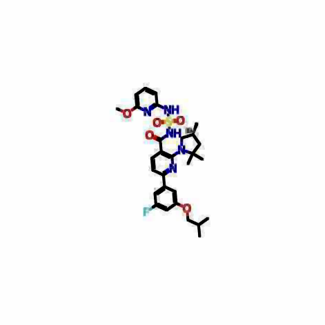 COc1cccc(NS(=O)(=O)NC(=O)c2ccc(-c3cc(F)cc(OCC(C)C)c3)nc2N2C[C@@H](C)CC2(C)C)n1